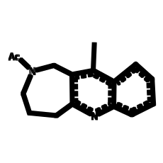 CC(=O)N1CCCc2nc3ccccc3c(C)c2C1